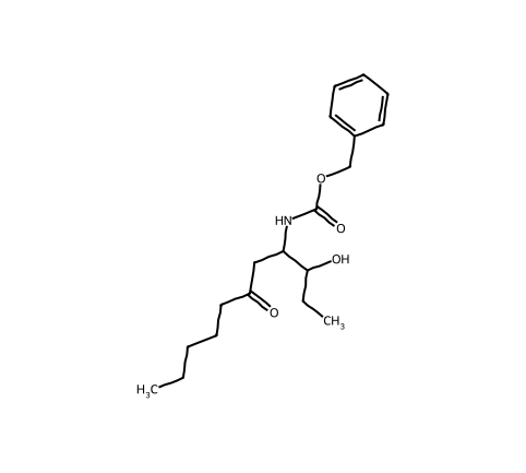 CCCCCC(=O)CC(NC(=O)OCc1ccccc1)C(O)CC